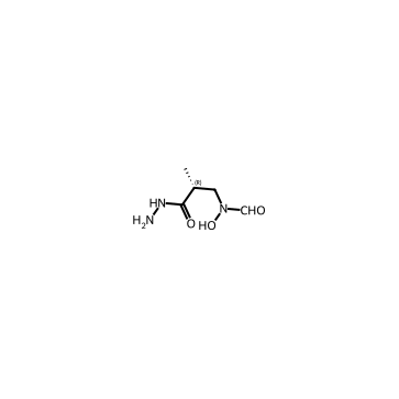 C[C@H](CN(O)C=O)C(=O)NN